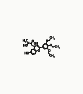 CCOc1cc(C2=CC(O)(CC(=O)N(C)O)c3cc(O)ccc3O2)cc(OCC)c1OCC